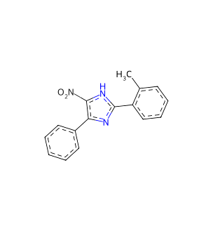 Cc1ccccc1-c1nc(-c2ccccc2)c([N+](=O)[O-])[nH]1